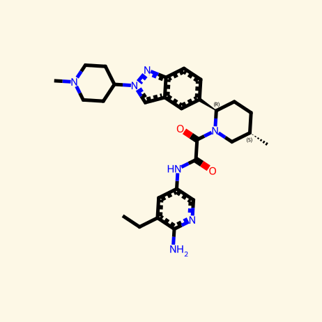 CCc1cc(NC(=O)C(=O)N2C[C@@H](C)CC[C@@H]2c2ccc3nn(C4CCN(C)CC4)cc3c2)cnc1N